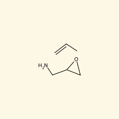 C=CC.NCC1CO1